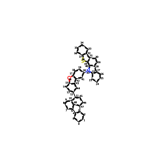 c1ccc2c(c1)-c1cccc3c(-c4ccc5oc6ccc(-n7c8ccccc8c8ccc9c%10ccccc%10sc9c87)cc6c5c4)ccc-2c13